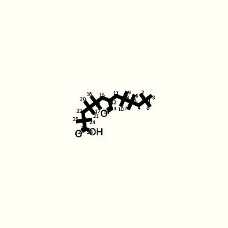 CC(C)(C)CC(C)(C)C(C)(C)CC(C=O)CC(C)(C)C(C)(C)CC(C)(C)C(=O)O